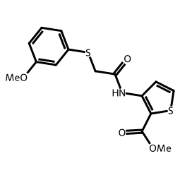 COC(=O)c1sccc1NC(=O)CSc1cccc(OC)c1